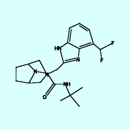 CC(C)(C)NC(=O)CN1C2CCC1CN(Cc1nc3c(C(F)F)cccc3[nH]1)C2